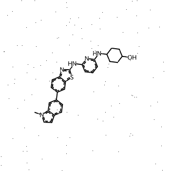 Cn1ccc2ccc(-c3ccc4nc(Nc5cccc(NC6CCC(O)CC6)n5)sc4c3)cc21